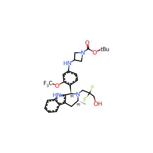 C[C@@H]1Cc2c([nH]c3ccccc23)[C@@H](c2ccc(NC3CN(C(=O)OC(C)(C)C)C3)cc2OC(F)(F)F)N1CC(F)(F)CO